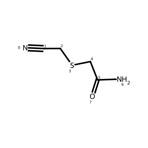 N#CCSCC(N)=O